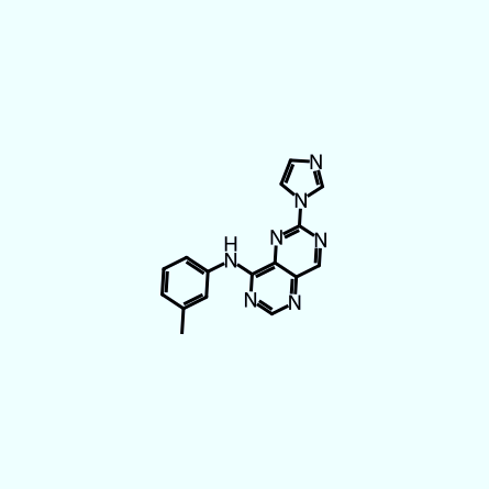 Cc1cccc(Nc2ncnc3cnc(-n4ccnc4)nc23)c1